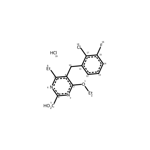 CCOc1nc(C(=O)O)nc(CC)c1Cc1cccc(F)c1Cl.Cl